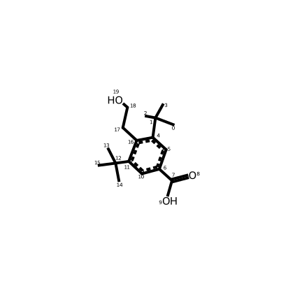 CC(C)(C)c1cc(C(=O)O)cc(C(C)(C)C)c1CCO